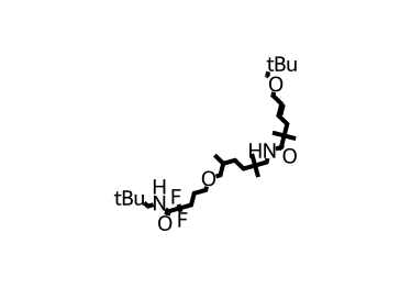 CC(CCC(C)(C)CNC(=O)C(C)(C)C/C=C/COCC(C)(C)C)COCCCC(F)(F)C(=O)NCC(C)(C)C